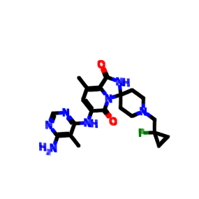 Cc1cc(Nc2ncnc(N)c2C)c(=O)n2c1C(=O)NC21CCN(CC2(F)CC2)CC1